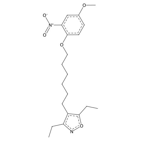 CCc1noc(CC)c1CCCCCCOc1ccc(OC)cc1[N+](=O)[O-]